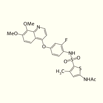 COc1ccc2c(Oc3ccc(NS(=O)(=O)c4sc(NC(C)=O)cc4C)c(F)c3)ccnc2c1OC